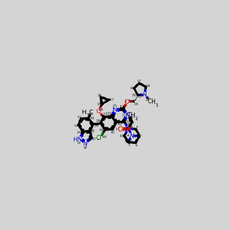 C=CC(=O)N1C2CC1CN(c1nc(OC[C@@H]3CCCN3C)nc3c(OC4CC4)c(-c4c(C)ccc5[nH]ncc45)c(Cl)cc13)C2